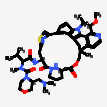 CCn1c(-c2cccnc2[C@H](C)OC)c2c3cc(ccc31)-c1csc(n1)C[C@H](NC(=O)C(C(C)C)N(C)C(=O)N1CCOC[C@@H]1CN(C)C)C(=O)N1CCC[C@H](N1)C(=O)OCC(C)(C)C2